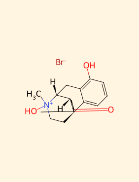 C[N+]1(O)CC[C@]23CC(=O)CC[C@H]2[C@H]1Cc1c(O)cccc13.[Br-]